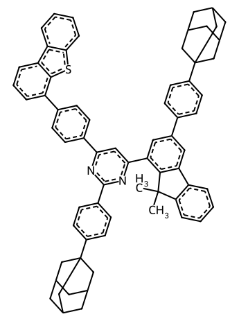 CC1(C)c2ccccc2-c2cc(-c3ccc(C45CC6CC(CC(C6)C4)C5)cc3)cc(-c3cc(-c4ccc(-c5cccc6c5sc5ccccc56)cc4)nc(-c4ccc(C56CC7CC(CC(C7)C5)C6)cc4)n3)c21